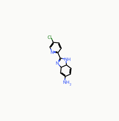 NC1=CC2N=C(c3ccc(Cl)cn3)NC2C=C1